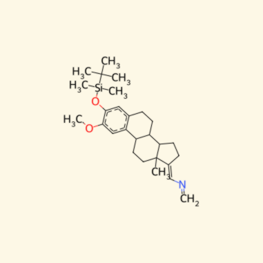 C=NC=C1CCC2C3CCc4cc(O[Si](C)(C)C(C)(C)C)c(OC)cc4C3CCC12C